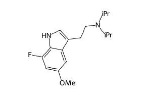 COc1cc(F)c2[nH]cc(CCN(C(C)C)C(C)C)c2c1